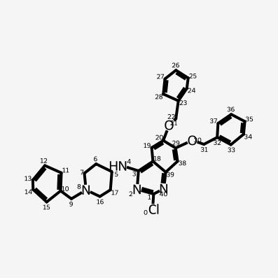 Clc1nc(NC2CCN(Cc3ccccc3)CC2)c2cc(OCc3ccccc3)c(OCc3ccccc3)cc2n1